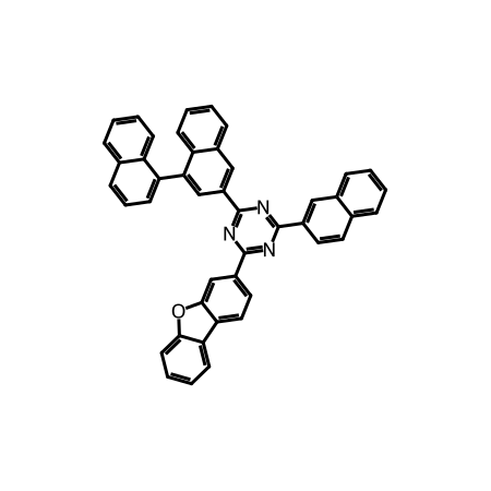 c1ccc2cc(-c3nc(-c4cc(-c5cccc6ccccc56)c5ccccc5c4)nc(-c4ccc5c(c4)oc4ccccc45)n3)ccc2c1